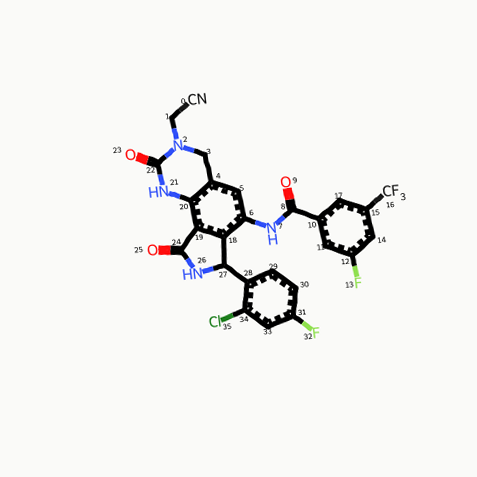 N#CCN1Cc2cc(NC(=O)c3cc(F)cc(C(F)(F)F)c3)c3c(c2NC1=O)C(=O)NC3c1ccc(F)cc1Cl